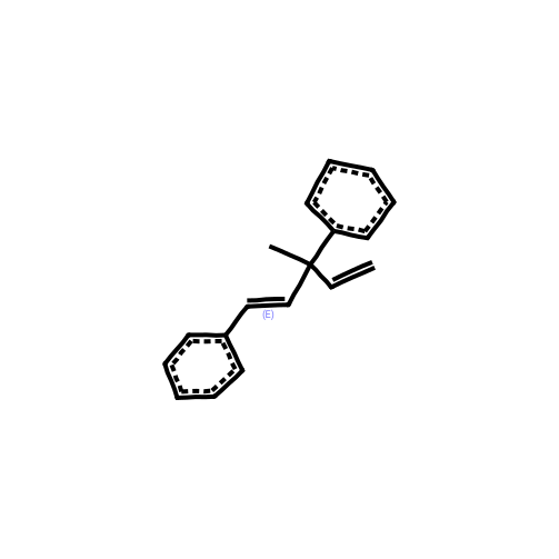 C=CC(C)(/C=C/c1ccccc1)c1ccccc1